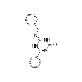 O=C(S)N/C(=N\Cc1ccccc1)NCc1ccccc1